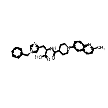 Cc1ccc2cc(N3CCC(C(=O)NC(Cc4cn(Cc5ccccc5)cn4)C(=O)O)CC3)ccc2n1